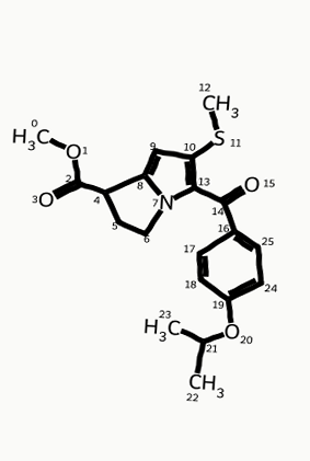 COC(=O)C1CCn2c1cc(SC)c2C(=O)c1ccc(OC(C)C)cc1